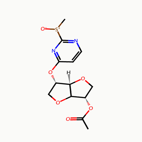 CC(=O)O[C@H]1CO[C@H]2C1OC[C@@H]2Oc1ccnc([S+](C)[O-])n1